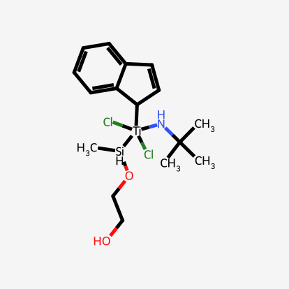 C[SiH](OCCO)[Ti]([Cl])([Cl])([NH]C(C)(C)C)[CH]1C=Cc2ccccc21